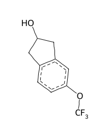 OC1Cc2ccc(OC(F)(F)F)cc2C1